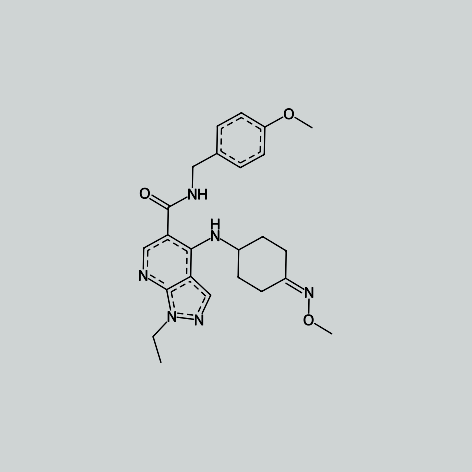 CCn1ncc2c(NC3CCC(=NOC)CC3)c(C(=O)NCc3ccc(OC)cc3)cnc21